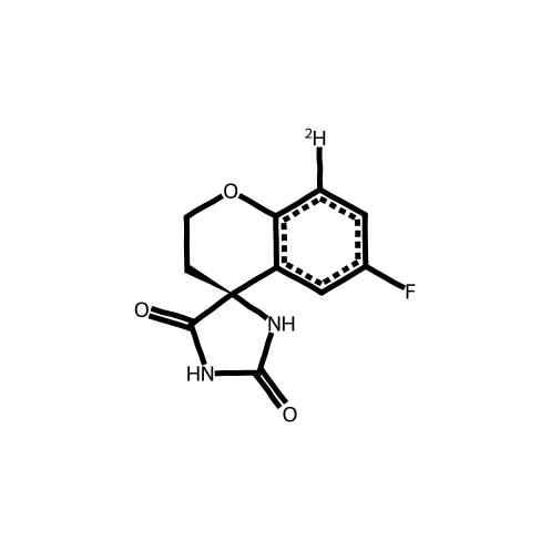 [2H]c1cc(F)cc2c1OCC[C@]21NC(=O)NC1=O